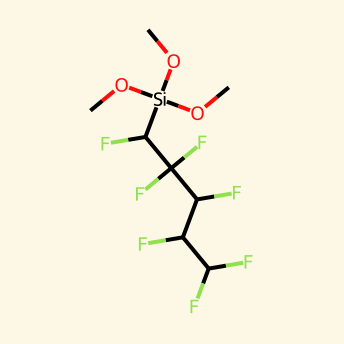 CO[Si](OC)(OC)C(F)C(F)(F)C(F)C(F)C(F)F